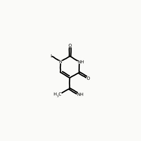 CC(=N)c1cn(I)c(=O)[nH]c1=O